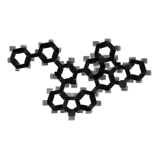 c1ccc(-c2cccc(-c3nc(-c4ccccc4)nc(-c4cccc5oc6ccc(-c7cc8c9c(c7)c7ccccc7n9-c7ccccc7O8)cc6c45)n3)c2)cc1